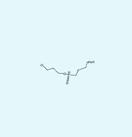 CCCCCCCC[PH](=O)OCCCCl